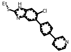 CCSc1nc2cc(-c3ccc(-c4cccnc4)cc3)c(Cl)cc2[nH]1